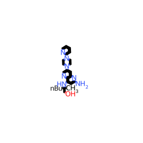 CCCCC(C)(CO)Nc1cc(N)nc2cc(N3CCN(c4ccccn4)CC3)cnc12